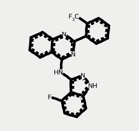 Fc1cccc2[nH]nc(Nc3nc(-c4ccccc4C(F)(F)F)nc4ccccc34)c12